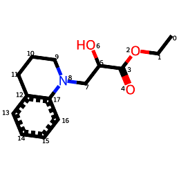 CCOC(=O)C(O)CN1CCCc2ccccc21